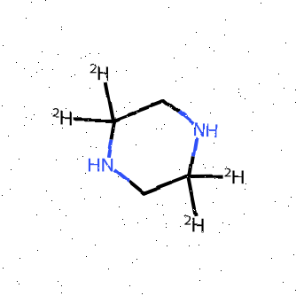 [2H]C1([2H])CNC([2H])([2H])CN1